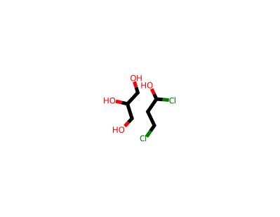 OC(Cl)CCCl.OCC(O)CO